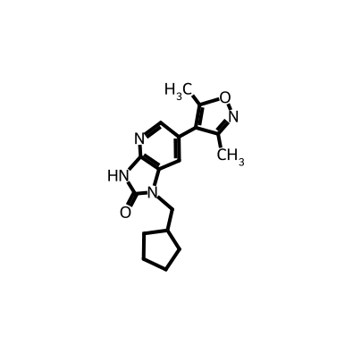 Cc1noc(C)c1-c1cnc2[nH]c(=O)n(CC3CCCC3)c2c1